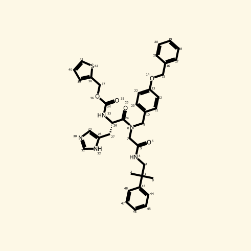 CC(C)(CNC(=O)CN(Cc1ccc(OCc2ccccc2)cc1)C(=O)[C@H](Cc1cnc[nH]1)NC(=O)OCc1cccs1)c1ccccc1